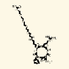 CCCC(=O)NCCOCCOCCOCCOCCC(=O)NCCCC[C@H]1NC(=O)[C@@H](Cc2ccccc2)NC(=O)C(O)(CC(=O)O)NC(=O)CNC(=O)C(CCCNC(=N)N)NC1=O